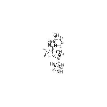 Cc1cccn2c(C(C)(NC(=O)[C@H]3[C@@H]4CNC[C@@H]43)C3CC3)ncc12